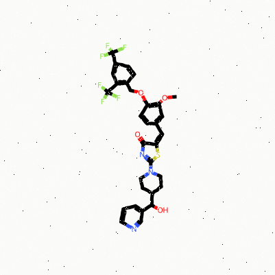 COc1cc(C=C2SC(N3CCC(C(O)c4cccnc4)CC3)=NC2=O)ccc1OCc1ccc(C(F)(F)F)cc1C(F)(F)F